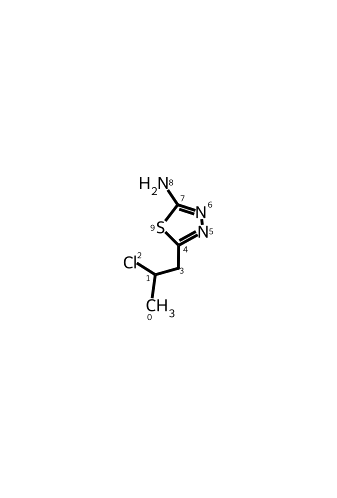 CC(Cl)Cc1nnc(N)s1